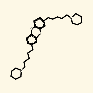 c1cc2c(cc1CCCCCN1CCCCC1)Sc1cc(CCCCCN3CCCCC3)ccc1O2